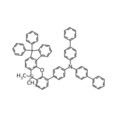 C[Si]1(C)c2cccc(-c3ccc(N(c4ccc(-c5ccccc5)cc4)c4ccc(-c5ccccc5)cc4)cc3)c2Oc2c1ccc1c2-c2ccccc2C1(c1ccccc1)c1ccccc1